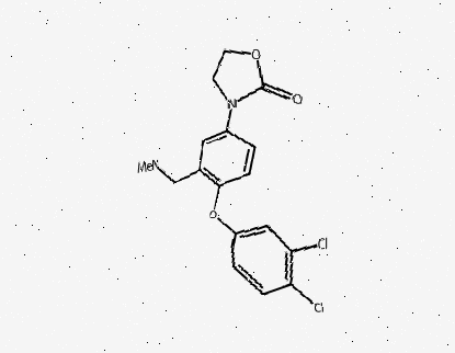 CNCc1cc(N2CCOC2=O)ccc1Oc1ccc(Cl)c(Cl)c1